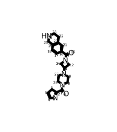 O=C(C1=NC=CC1)N1CCN(C2CN(C(=O)c3ccc4c(c3)CCNC4)C2)CC1